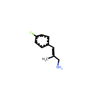 C/C(=C\c1ccc(F)cc1)CN